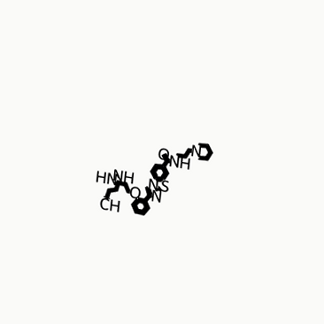 C#CCCC1(CCOc2ccccc2-c2cn3c(n2)sc2cc(C(=O)NCCCN4CCCCC4)ccc23)NN1